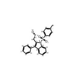 Cc1ccc(S(=O)(=O)n2c(CP=O)c(-c3ccccc3)c3ccccc32)cc1